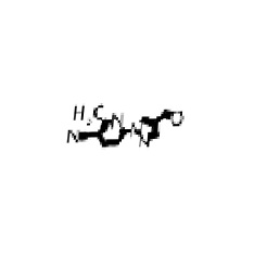 Cc1nc(-n2cc(C=O)cn2)ccc1C#N